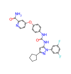 NC(=O)c1cc(Oc2ccc(NC(=O)Nc3cc(C4CCCC4)nn3-c3cc(F)cc(F)c3)cc2)ccn1